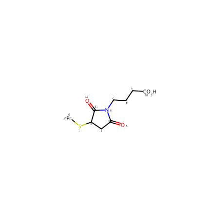 CCCSC1CC(=O)N(CCCC(=O)O)C1=O